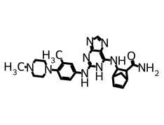 Cc1cc(Nc2nc3ncnc-3c(NC3C4C=CC(C4)C3C(N)=O)[nH]2)ccc1N1CCN(C)CC1